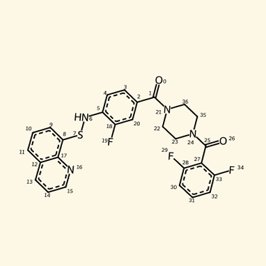 O=C(c1ccc(NSc2cccc3cccnc23)c(F)c1)N1CCN(C(=O)c2c(F)cccc2F)CC1